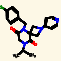 CC(C)N1CC(=O)N(Cc2ccc(Cl)cc2)C2(CN(c3ccncc3)C2)C1=O